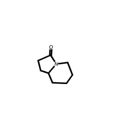 O=C1CCC2CCCCN12